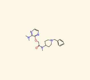 CN(C)c1nccnc1OCC(=O)N(C)C1CCN(Cc2ccccc2)CC1